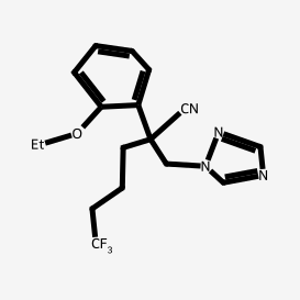 CCOc1ccccc1C(C#N)(CCCC(F)(F)F)Cn1cncn1